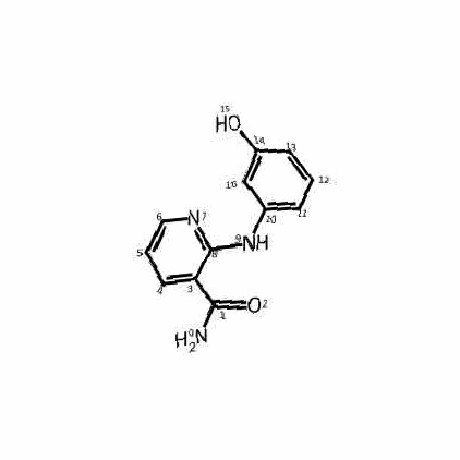 NC(=O)c1cccnc1Nc1cccc(O)c1